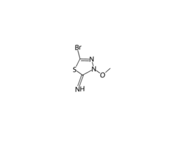 COn1nc(Br)sc1=N